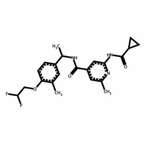 Cc1cc(C(=O)NC(C)c2ccc(OCC(F)F)c(C)c2)cc(NC(=O)C2CC2)n1